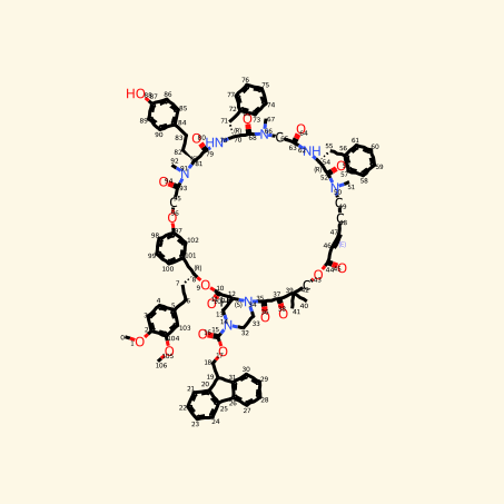 COc1ccc(CC[C@H]2OC(=O)[C@@H]3CN(C(=O)OCC4c5ccccc5-c5ccccc54)CCN3C(=O)C(=O)C(C)(C)COC(=O)/C=C/CCN(C)C(=O)[C@@H](Cc3ccccc3)NC(=O)CN(C)C(=O)[C@@H](Cc3ccccc3)NC(=O)[C@H](CCc3ccc(O)cc3)N(C)C(=O)COc3cccc2c3)cc1OC